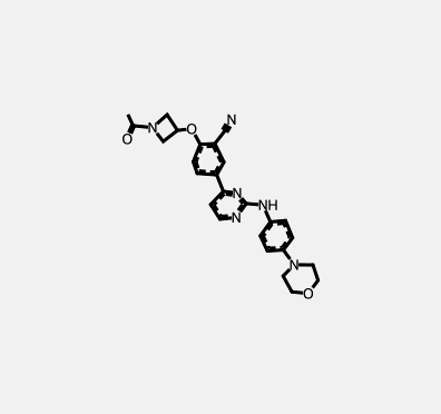 CC(=O)N1CC(Oc2ccc(-c3ccnc(Nc4ccc(N5CCOCC5)cc4)n3)cc2C#N)C1